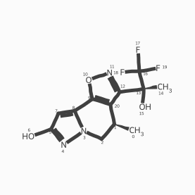 C[C@H]1Cn2nc(O)cc2-c2onc([C@@](C)(O)C(F)(F)F)c21